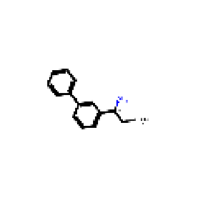 CCOC(=O)C[C@H](N)c1cccc(-c2ccccc2)c1